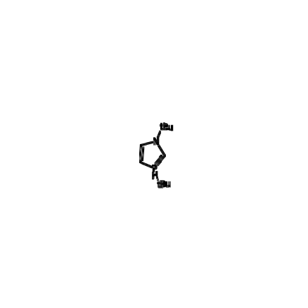 CC(C)(C)N1C=C[PH](C(C)(C)C)=C1